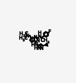 CC(Nc1nc(Nc2cc(C3CC3)n[nH]2)c2ccc(CN(C)C)n2n1)c1ccc(F)cc1